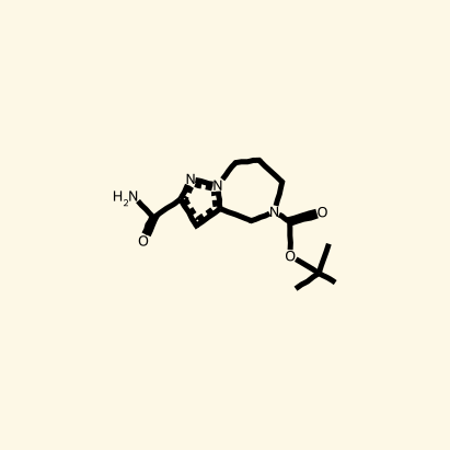 CC(C)(C)OC(=O)N1CCCn2nc(C(N)=O)cc2C1